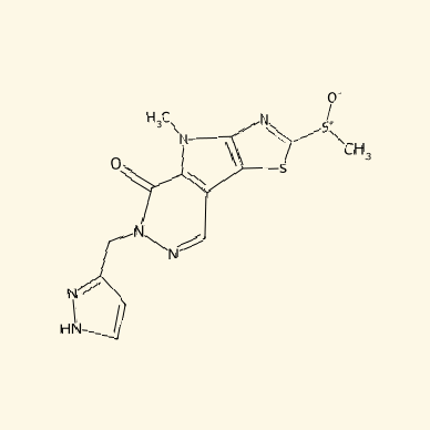 Cn1c2nc([S+](C)[O-])sc2c2cnn(Cc3cc[nH]n3)c(=O)c21